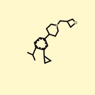 CC(C)c1ccc(C2CCN(CC3COC3)CC2)cc1C1CC1